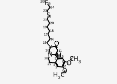 COc1cc2c(cc1OC)[C@H]1CC(=O)[C@H](CCCCCCCSCC[18F])CN1CC2